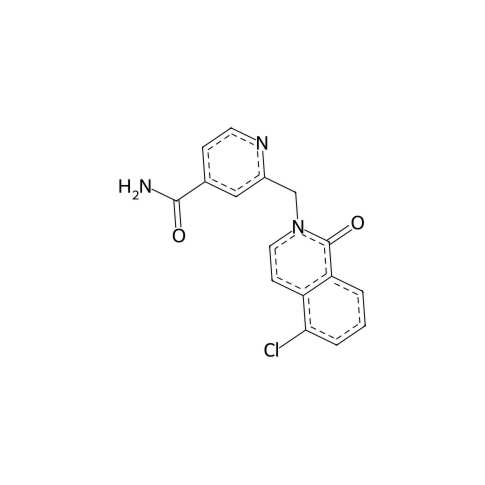 NC(=O)c1ccnc(Cn2ccc3c(Cl)cccc3c2=O)c1